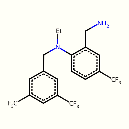 CCN(Cc1cc(C(F)(F)F)cc(C(F)(F)F)c1)c1ccc(C(F)(F)F)cc1CN